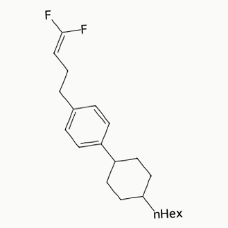 CCCCCCC1CCC(c2ccc(CCC=C(F)F)cc2)CC1